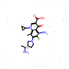 Cc1c(N2CC[C@H](C(C)N)C2)c(F)c(N)c2c(=O)c(C(=O)O)cn(C3CC3)c12